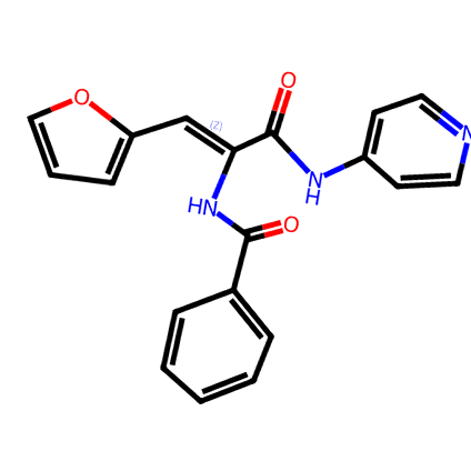 O=C(Nc1ccncc1)/C(=C/c1ccco1)NC(=O)c1ccccc1